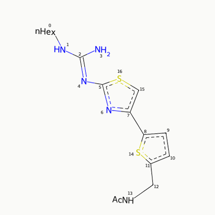 CCCCCCN/C(N)=N/c1nc(-c2ccc(CNC(C)=O)s2)cs1